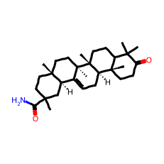 CC1(C(N)=O)CC[C@]2(C)CC[C@]3(C)C(=CC[C@@H]4[C@@]5(C)CCC(=O)C(C)(C)C5CC[C@]43C)[C@H]2C1